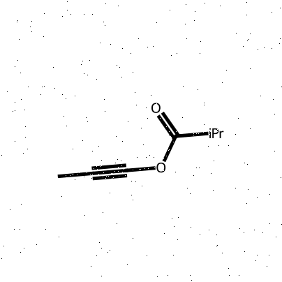 CC#COC(=O)C(C)C